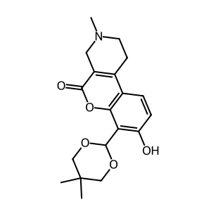 CN1CCc2c(c(=O)oc3c(C4OCC(C)(C)CO4)c(O)ccc23)C1